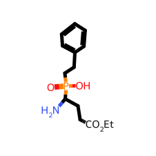 CCOC(=O)CCC(N)P(=O)(O)CCc1ccccc1